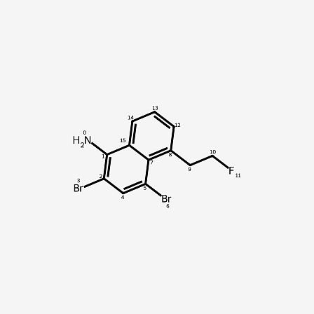 Nc1c(Br)cc(Br)c2c(CCF)cccc12